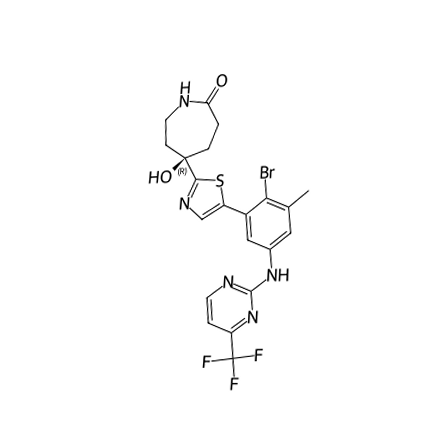 Cc1cc(Nc2nccc(C(F)(F)F)n2)cc(-c2cnc([C@]3(O)CCNC(=O)CC3)s2)c1Br